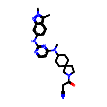 Cc1c2ccc(Nc3nccc(N(C)C4CCC5(CC4)CCN(C(=O)CC#N)C5)n3)cc2nn1C